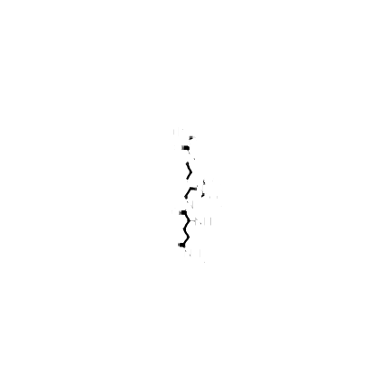 CC(C)(C)OC(=O)NCCC[C@@H](CNC(=O)[C@@H](N)CCC(N)=O)N(C(=O)O)C(C)(C)C